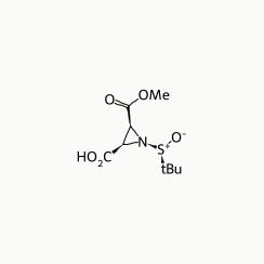 COC(=O)[C@@H]1[C@H](C(=O)O)[N@]1[S@@+]([O-])C(C)(C)C